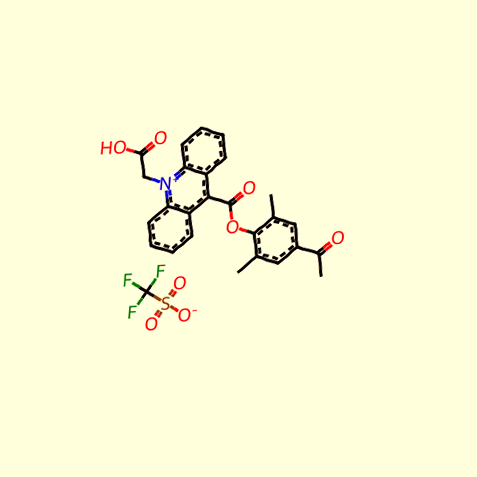 CC(=O)c1cc(C)c(OC(=O)c2c3ccccc3[n+](CC(=O)O)c3ccccc23)c(C)c1.O=S(=O)([O-])C(F)(F)F